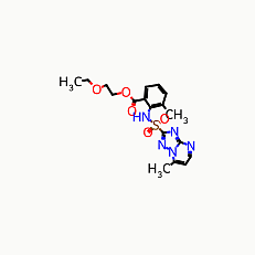 CCOCCOC(=O)c1cccc(C)c1NS(=O)(=O)c1nc2nccc(C)n2n1